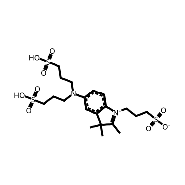 CC1=[N+](CCCS(=O)(=O)[O-])c2ccc(N(CCCS(=O)(=O)O)CCCS(=O)(=O)O)cc2C1(C)C